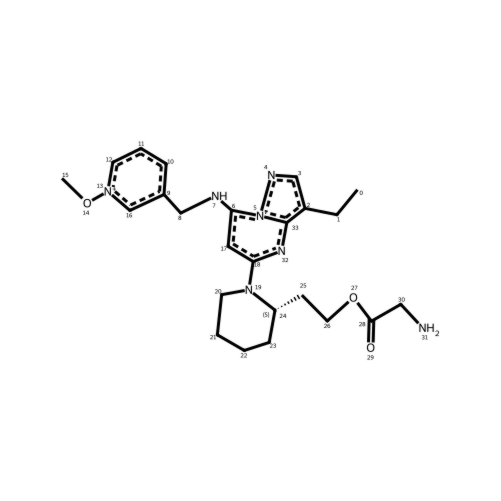 CCc1cnn2c(NCc3ccc[n+](OC)c3)cc(N3CCCC[C@H]3CCOC(=O)CN)nc12